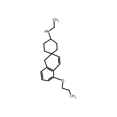 CCCOc1cccc2c1C=CC1(CCC(NCC)CC1)C2